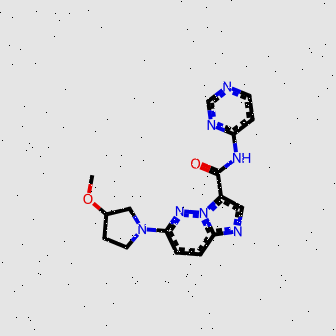 COC1CCN(c2ccc3ncc(C(=O)Nc4ccncn4)n3n2)C1